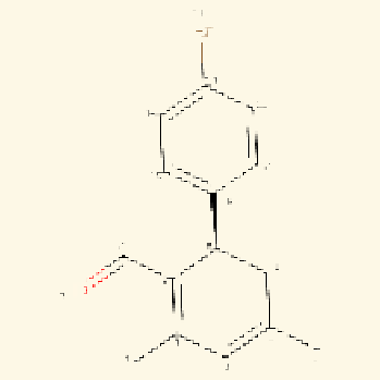 CC1=CC(C)=C(C=O)[C@@H](c2ccc(Br)cc2)C1